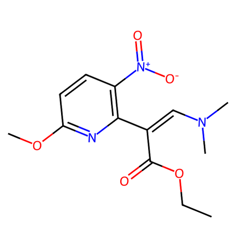 CCOC(=O)C(=CN(C)C)c1nc(OC)ccc1[N+](=O)[O-]